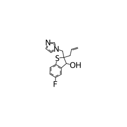 C=CCC1(Cn2ccnc2)Sc2ccc(F)cc2C1O